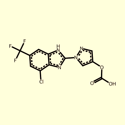 O=C(O)Oc1cnn(-c2nc3c(Cl)cc(C(F)(F)F)cc3[nH]2)c1